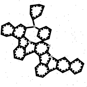 c1ccc(N(c2ccccc2)c2cc3ccccc3c3c4cccc5c6c7c8cccc9c%10cc%11ccccc%11cc%10n(c7ncc6n(c23)c54)c98)cc1